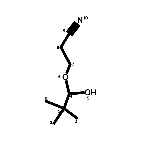 CC(C)(C)C(O)OCCC#N